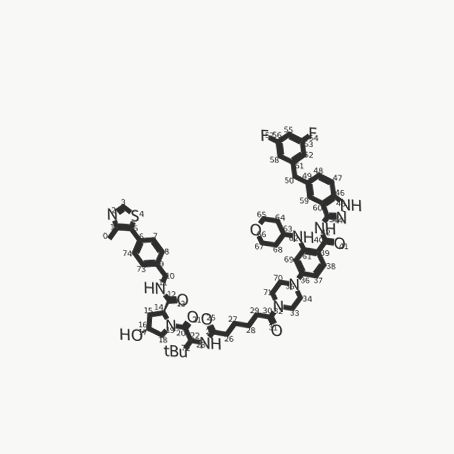 Cc1ncsc1-c1ccc(CNC(=O)[C@@H]2C[C@@H](O)CN2C(=O)C(NC(=O)CCCCC(=O)N2CCN(c3ccc(C(=O)Nc4n[nH]c5ccc(Cc6cc(F)cc(F)c6)cc45)c(NC4CCOCC4)c3)CC2)C(C)(C)C)cc1